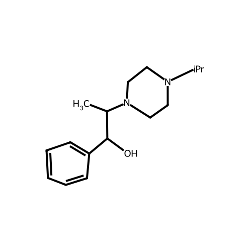 CC(C)N1CCN(C(C)C(O)c2ccccc2)CC1